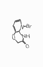 O=C1COC2=CC=CN(Br)C2N1